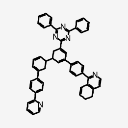 C1=CC(C2C=C(c3ccc(-c4nccc5c4C=CCC5)cc3)C=C(c3nc(-c4ccccc4)nc(-c4ccccc4)n3)C2)CC(c2ccc(-c3ccccn3)cc2)=C1